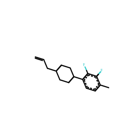 C=CCC1CCC(c2ccc(C)c(F)c2F)CC1